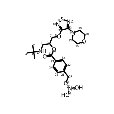 CC(C)(C)NCC(COc1nsnc1N1CCOCC1)OC(=O)c1ccc(CON(O)O)cc1